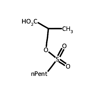 CCCCCS(=O)(=O)OC(C)C(=O)O